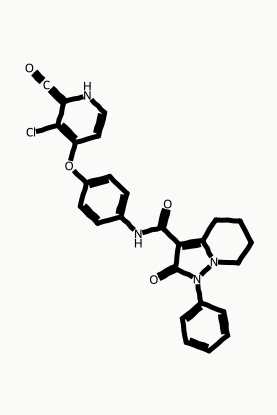 O=C=C1NC=CC(Oc2ccc(NC(=O)c3c4n(n(-c5ccccc5)c3=O)CCCC4)cc2)=C1Cl